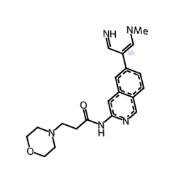 CN/C=C(\C=N)c1ccc2cnc(NC(=O)CCN3CCOCC3)cc2c1